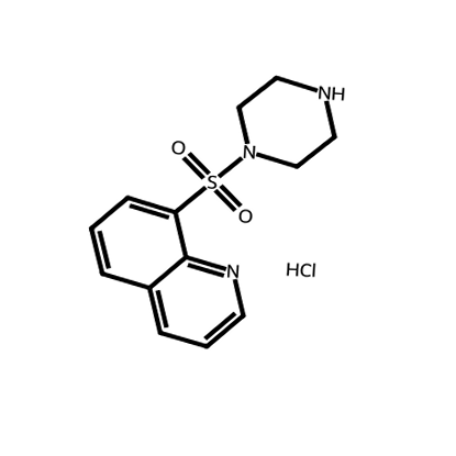 Cl.O=S(=O)(c1cccc2cccnc12)N1CCNCC1